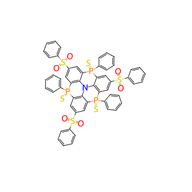 O=S(=O)(c1ccccc1)c1cc2c3c(c1)P(=S)(c1ccccc1)c1cc(S(=O)(=O)c4ccccc4)cc4c1N3c1c(cc(S(=O)(=O)c3ccccc3)cc1P4(=S)c1ccccc1)P2(=S)c1ccccc1